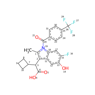 Cc1c(C(C(=O)O)C2CCC2)c2cc(O)c(F)cc2n1C(=O)c1ccc(C(F)(F)F)cc1